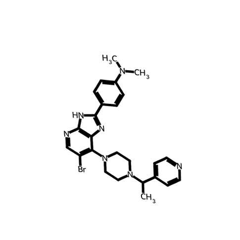 CC(c1ccncc1)N1CCN(c2c(Br)cnc3[nH]c(-c4ccc(N(C)C)cc4)nc23)CC1